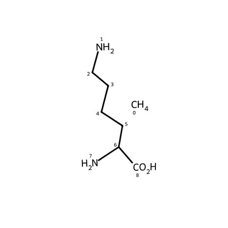 C.NCCCCC(N)C(=O)O